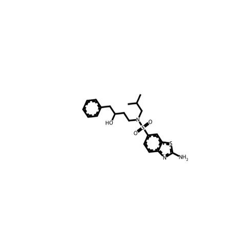 CC(C)CN(CC[C](O)Cc1ccccc1)S(=O)(=O)c1ccc2nc(N)sc2c1